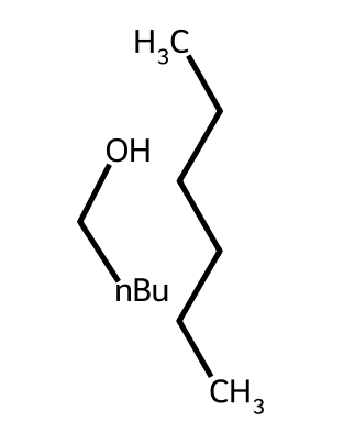 CCCCCC.CCCCCO